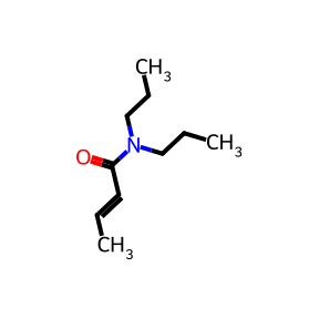 CC=CC(=O)N(CCC)CCC